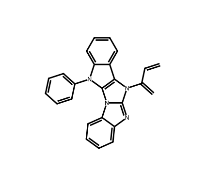 C=CC(=C)n1c2c3ccccc3n(-c3ccccc3)c2n2c3ccccc3nc12